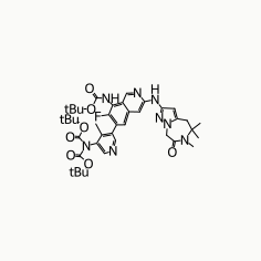 Cc1c(-c2cc3cc(Nc4cc5n(n4)CC(=O)N(C)C(C)(C)C5)ncc3c(NC(=O)OC(C)(C)C)c2F)cncc1N(C(=O)OC(C)(C)C)C(=O)OC(C)(C)C